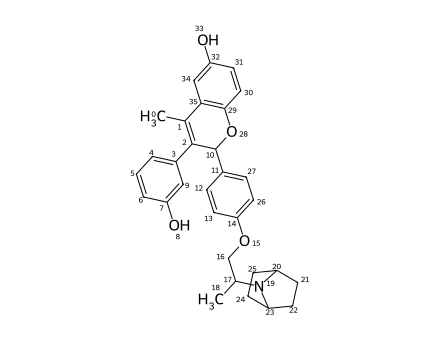 CC1=C(c2cccc(O)c2)C(c2ccc(OCC(C)N3C4CCC3CC4)cc2)Oc2ccc(O)cc21